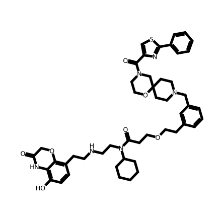 O=C1COc2c(CCNCCN(C(=O)CCOCCc3cccc(CN4CCC5(CC4)CN(C(=O)c4csc(-c6ccccc6)n4)CCO5)c3)C3CCCCC3)ccc(O)c2N1